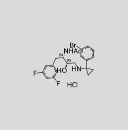 CC(=O)N[C@@H](Cc1cc(F)cc(F)c1)[C@H](O)CNC1(c2cccc(Br)c2)CC1.Cl